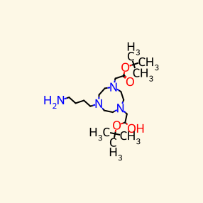 CC(C)(C)OC(=O)CN1CCN(CCCCN)CCN(CC(O)OC(C)(C)C)CC1